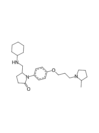 CC1CCCN1CCCOc1ccc(N2C(=O)CCC2CNC2CCCCC2)cc1